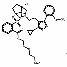 COCCOCCOC(=O)c1ccccc1S(=O)(=O)N[C@@H]1[C@@H]2CC[C@H]1C[C@@H](OCc1c(-c3ccccc3OC(F)(F)F)noc1C1CC1)C2